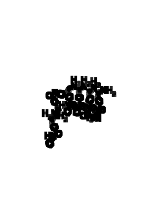 CN(C(=O)c1ccc([C@@H]2C[C@H]2N)cc1)c1ccccc1.N[C@@H]1C[C@H]1c1ccc(C(=O)NC2CCCCC2)cc1.N[C@@H]1C[C@H]1c1ccc(C(=O)NCc2ccccc2)cc1.N[C@@H]1C[C@H]1c1ccc(C(=O)Nc2cccc(C(F)(F)F)c2)cc1.N[C@@H]1C[C@H]1c1ccc(C(=O)Nc2ccccc2)cc1.N[C@@H]1C[C@H]1c1ccc(C(=O)Nc2cn[nH]c2)cc1